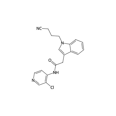 N#CCCCn1cc(CC(=O)Nc2ccncc2Cl)c2ccccc21